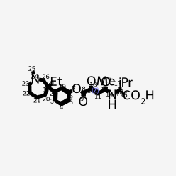 CCC1(c2cccc(OC(=O)/C(=C/C(=O)N[C@H](C(=O)O)C(C)C)OC)c2)CCCCN(C)C1